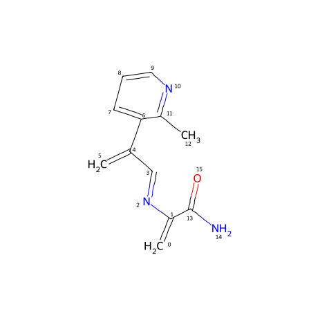 C=C(/N=C/C(=C)c1cccnc1C)C(N)=O